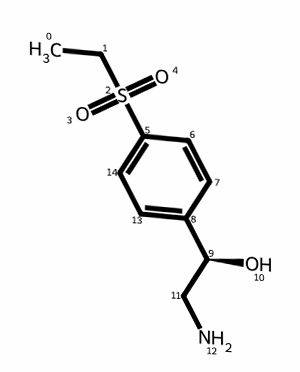 CCS(=O)(=O)c1ccc([C@@H](O)CN)cc1